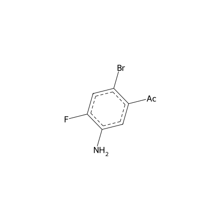 CC(=O)c1cc(N)c(F)cc1Br